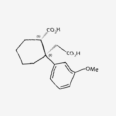 COc1cccc([C@@]2(CC(=O)O)CCCC[C@@H]2C(=O)O)c1